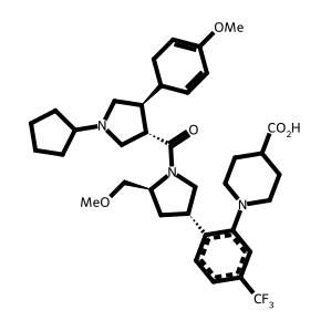 COC[C@@H]1C[C@@H](c2ccc(C(F)(F)F)cc2N2CCC(C(=O)O)CC2)CN1C(=O)[C@@H]1CN(C2CCCC2)C[C@H]1C1C=CC(OC)=CC1